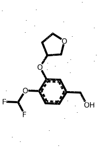 OCc1ccc(OC(F)F)c(OC2CCOC2)c1